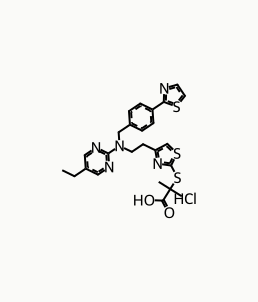 CCc1cnc(N(CCc2csc(SC(C)(C)C(=O)O)n2)Cc2ccc(-c3nccs3)cc2)nc1.Cl